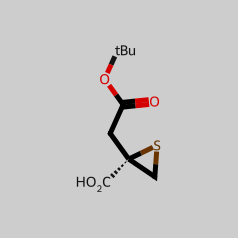 CC(C)(C)OC(=O)C[C@]1(C(=O)O)CS1